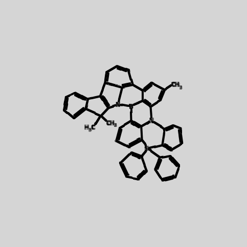 Cc1cc2c3c(c1)N1c4ccccc4[Si](c4ccccc4)(c4ccccc4)c4cccc(c41)B3n1c3c(c4cccc-2c41)-c1ccccc1C3(C)C